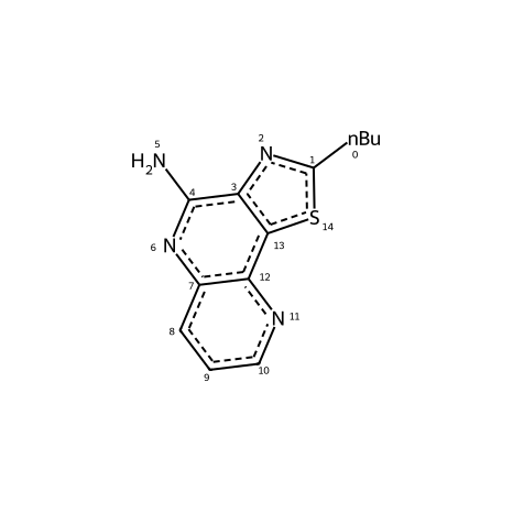 CCCCc1nc2c(N)nc3cccnc3c2s1